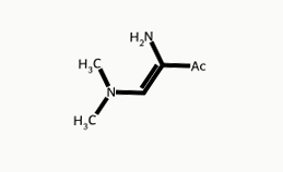 CC(=O)/C(N)=C/N(C)C